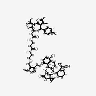 Cc1sc2c(c1C)C(c1ccc(Cl)cc1)=N[C@@H](CC(=O)NCCC(=O)NCCOCc1c(COc3ccc(Cl)c4c3[C@@H](CN3CC5(CC5)CC3=O)N(C(=O)[C@@H]3CCCC[C@]3(C)C(=O)O)CC4)nnn1C)c1nnc(C)n1-2